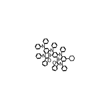 c1ccc(N(c2ccccc2)c2cc3c4c(c2)N(c2ccccc2)c2c(oc5ccccc25)B4c2cc4c(cc2N3c2ccccc2)N(c2ccccc2)c2cc(C3CCCCC3)cc3c2B4c2oc4ccccc4c2N3c2ccccc2)cc1